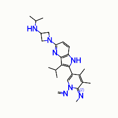 C=Nn1cc(-c2[nH]c3ccc(N4CC(NC(C)C)C4)nc3c2C(C)C)c(C)c(C)/c1=N/C